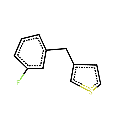 Fc1cc[c]c(Cc2ccsc2)c1